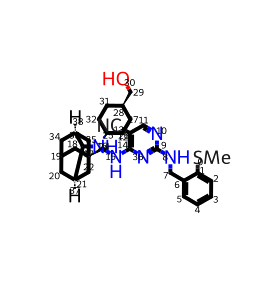 CSc1ccccc1CNc1ncc(C#N)c(NC[C@]23CC4C[C@H](C2)C(N[C@H]2CC[C@H](CO)CC2)[C@@H](C4)C3)n1